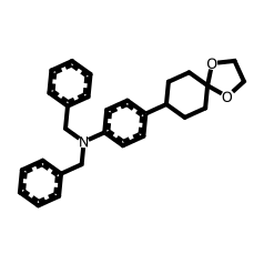 c1ccc(CN(Cc2ccccc2)c2ccc(C3CCC4(CC3)OCCO4)cc2)cc1